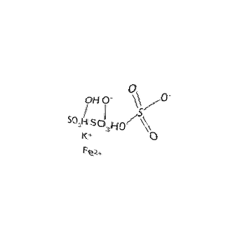 O=S(=O)(O)O.O=S(=O)([O-])O.O=S(=O)([O-])[O-].[Fe+2].[K+]